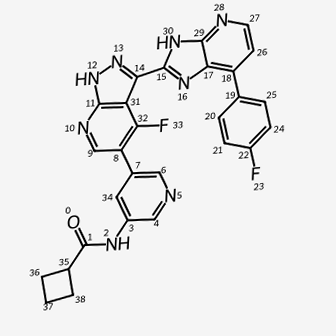 O=C(Nc1cncc(-c2cnc3[nH]nc(-c4nc5c(-c6ccc(F)cc6)ccnc5[nH]4)c3c2F)c1)C1CCC1